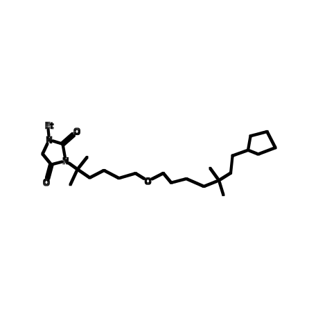 CCN1CC(=O)N(C(C)(C)CCCCOCCCCC(C)(C)CCC2CCCC2)C1=O